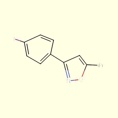 CC(C)c1cc(-c2ccc(I)cc2)no1